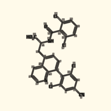 N#Cc1cc(Cl)c(-c2ccc(CC(NC(=O)c3c(Cl)cccc3Cl)C(=O)O)c3cccnc23)c(Cl)c1